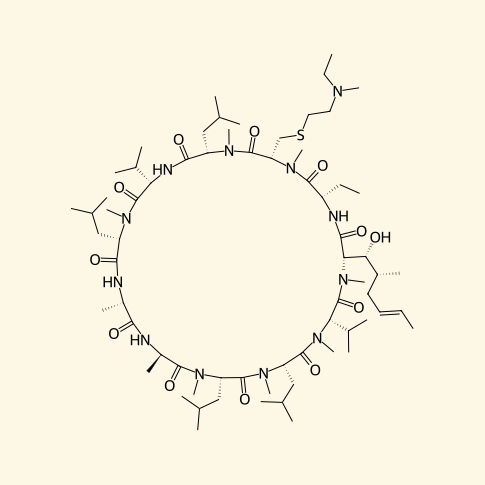 C/C=C/C[C@@H](C)[C@@H](O)[C@H]1C(=O)N[C@@H](CC)C(=O)N(C)[C@@H](CSCCN(C)CC)C(=O)N(C)[C@@H](CC(C)C)C(=O)N[C@@H](C(C)C)C(=O)N(C)[C@@H](CC(C)C)C(=O)N[C@@H](C)C(=O)N[C@H](C)C(=O)N(C)[C@@H](CC(C)C)C(=O)N(C)[C@@H](CC(C)C)C(=O)N(C)[C@@H](C(C)C)C(=O)N1C